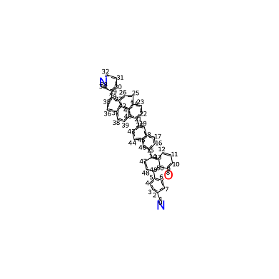 N#Cc1ccc2c(c1)OC1=CC=CC3=C(c4ccc5cc(-c6ccc7ccc8c(-c9cccnc9)ccc9ccc6c7c98)ccc5c4)C=CC2C13